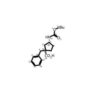 CC(C)(C)OC(=O)N[C@@H]1CC[C@@](Cc2ccccc2)(C(=O)O)C1